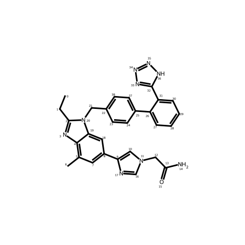 CCc1nc2c(C)cc(-c3cn(CC(N)=O)cn3)cc2n1Cc1ccc(-c2ccccc2-c2nnn[nH]2)cc1